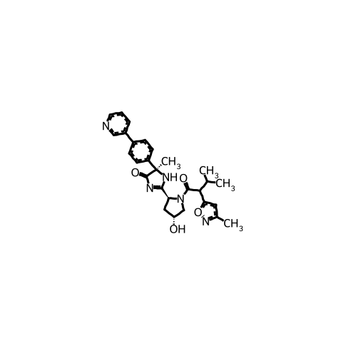 Cc1cc(C(C(=O)N2C[C@H](O)C[C@H]2C2=NC(=O)[C@@](C)(c3ccc(-c4cccnc4)cc3)N2)C(C)C)on1